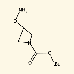 CC(C)(C)OC(=O)N1CC(ON)C1